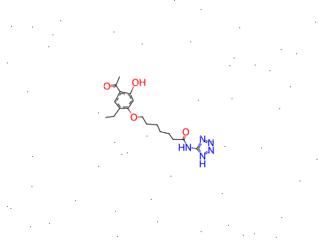 CCc1cc(C(C)=O)c(O)cc1OCCCCCCC(=O)Nc1nnn[nH]1